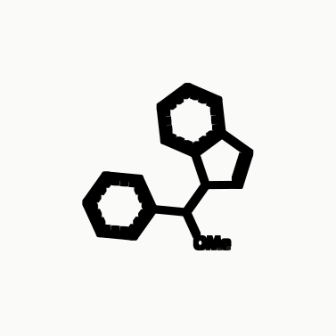 COC(c1ccccc1)C1C=Cc2ccccc21